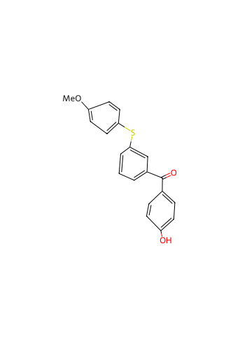 COc1ccc(Sc2cccc(C(=O)c3ccc(O)cc3)c2)cc1